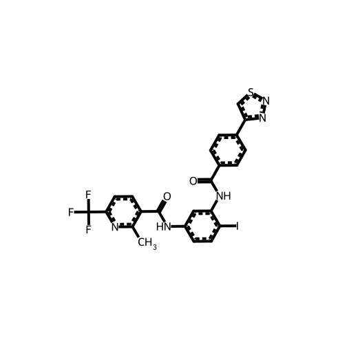 Cc1nc(C(F)(F)F)ccc1C(=O)Nc1ccc(I)c(NC(=O)c2ccc(-c3csnn3)cc2)c1